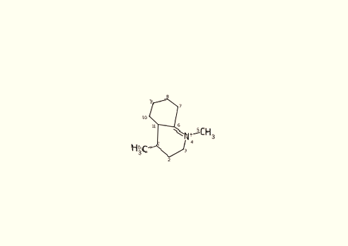 CC1CC[N+](C)=C2CCCCC21